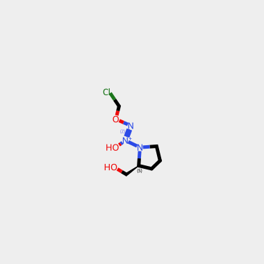 OC[C@@H]1CCCN1/[N+](O)=N/OCCl